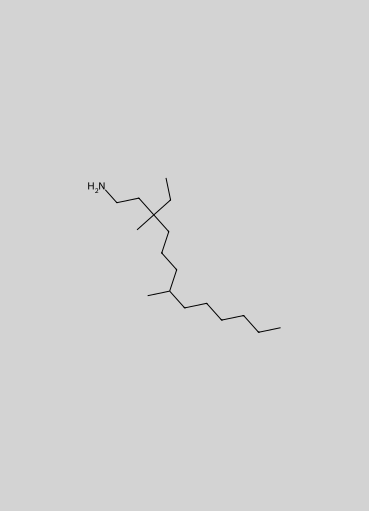 CCCCCCC(C)CCCC(C)(CC)CCN